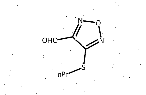 CCCSc1nonc1C=O